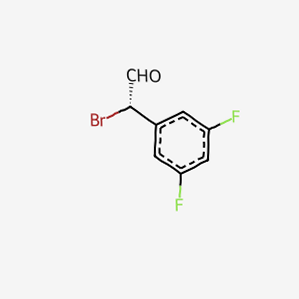 O=C[C@@H](Br)c1cc(F)cc(F)c1